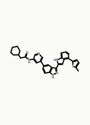 Cc1ccc(-c2cccc3[nH]c(-c4n[nH]c5ccc(-c6cncc(NC(=O)CC7CCCCC7)c6)cc45)cc23)s1